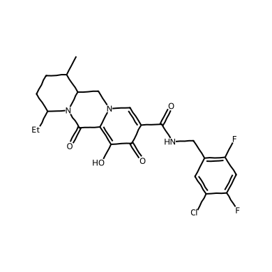 CCC1CCC(C)C2Cn3cc(C(=O)NCc4cc(Cl)c(F)cc4F)c(=O)c(O)c3C(=O)N12